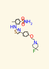 Cc1ccc(S(N)(=O)=O)cc1Nc1nc(-c2ccc(OCCN3CCC(C)(F)CC3)cc2)cs1